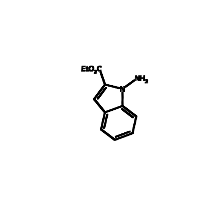 CCOC(=O)c1cc2ccccc2n1N